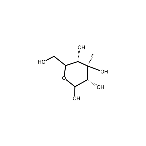 C[C@]1(O)[C@H](O)C(O)OC(CO)[C@@H]1O